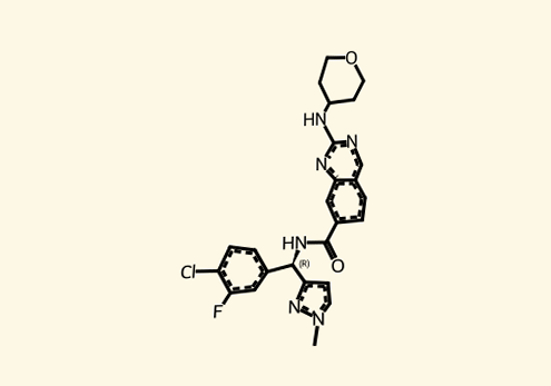 Cn1ccc([C@H](NC(=O)c2ccc3cnc(NC4CCOCC4)nc3c2)c2ccc(Cl)c(F)c2)n1